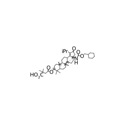 CC(C)C1=C2C3CCC4[C@@]5(C)CC[C@H](OC(=O)CC(C)(C)C(=O)O)C(C)(C)C5CC[C@@]4(C)[C@]3(C)CC[C@@]2(NC(=O)OCC2CCCCC2)CC1=O